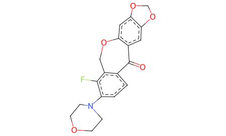 O=C1c2cc3c(cc2OCc2c1ccc(N1CCOCC1)c2F)OCO3